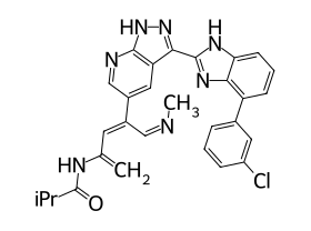 C=C(/C=C(\C=N/C)c1cnc2[nH]nc(-c3nc4c(-c5cccc(Cl)c5)cccc4[nH]3)c2c1)NC(=O)C(C)C